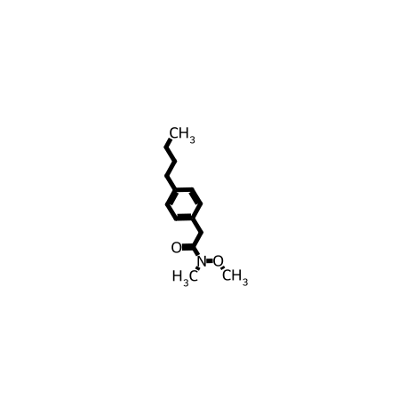 CCCCc1ccc(CC(=O)N(C)OC)cc1